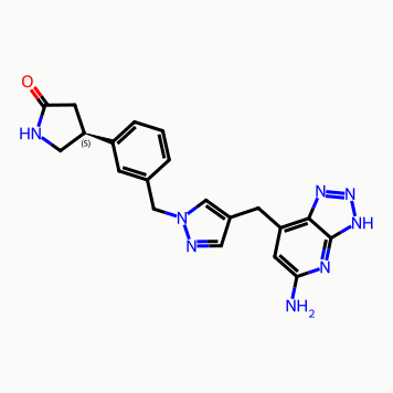 Nc1cc(Cc2cnn(Cc3cccc([C@H]4CNC(=O)C4)c3)c2)c2nn[nH]c2n1